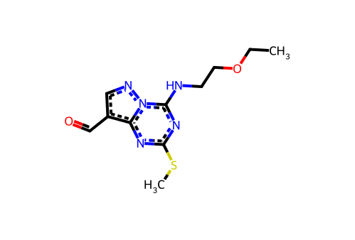 CCOCCNc1nc(SC)nc2c(C=O)cnn12